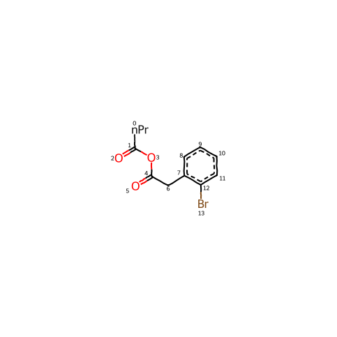 [CH2]CCC(=O)OC(=O)Cc1ccccc1Br